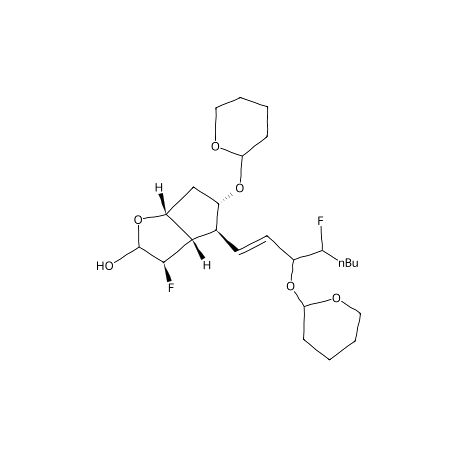 CCCCC(F)C(/C=C/[C@H]1[C@H]2[C@@H](C[C@@H]1OC1CCCCO1)OC(O)[C@@H]2F)OC1CCCCO1